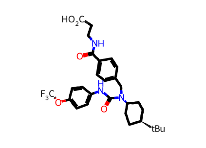 CC(C)(C)[C@H]1CC[C@@H](N(Cc2ccc(C(=O)NCCC(=O)O)cc2)C(=O)Nc2ccc(OC(F)(F)F)cc2)CC1